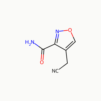 N#CCc1conc1C(N)=O